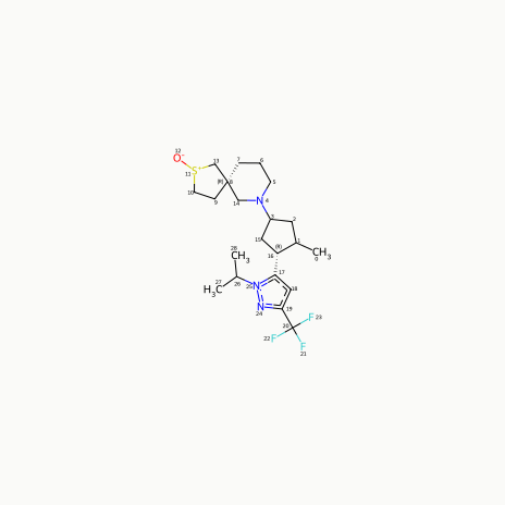 CC1CC(N2CCC[C@@]3(CC[S+]([O-])C3)C2)C[C@H]1c1cc(C(F)(F)F)nn1C(C)C